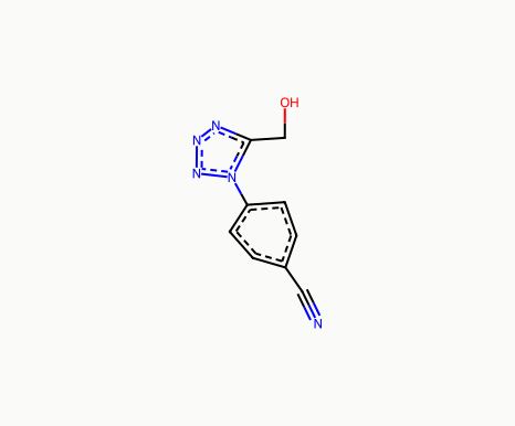 N#Cc1ccc(-n2nnnc2CO)cc1